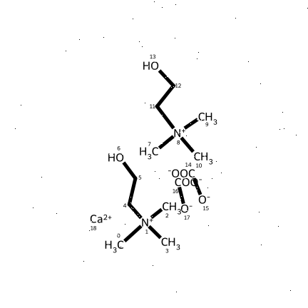 C[N+](C)(C)CCO.C[N+](C)(C)CCO.O=C([O-])[O-].O=C([O-])[O-].[Ca+2]